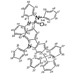 O=P1(c2ccc3c(c2)c2cc4c(cc2n3-c2ccccc2)C(c2ccccc2)(c2ccccc2)c2ccccc2-4)N(c2ccccc2)c2ccccc2N1c1ccccc1